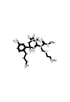 COCCOCN(C(=O)OC(C)(C)C)C1=N[C@](C)(c2cc([N+](=O)[O-])ccc2CCCO)CS(=O)(=O)N1C